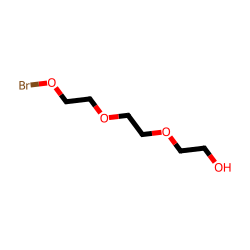 OCCOCCOCCOBr